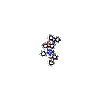 c1ccc(-c2nc(-c3cccc4c3sc3ccccc34)nc(-c3ccc(-n4c5ccccc5c5ccccc54)c4oc5ccccc5c34)n2)cc1